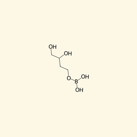 OCC(O)CCOB(O)O